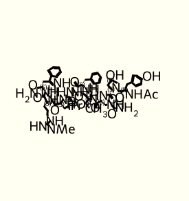 CNC(=N)NCCC[C@H](NC(=O)[C@H](CC(C)C)NC(=O)NNC(=O)[C@H](Cc1ccccc1)NC(=O)[C@@H](NC(=O)[C@H](CNC(N)=O)NC(=O)[C@@H]1C[C@@H](O)CN1C(=O)[C@@H](Cc1ccc(O)cc1)NC(C)=O)[C@@H](C)O)C(=O)N[C@@H](Cc1c[nH]c2ccccc12)C(N)=O